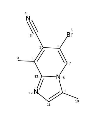 Cc1c(C#N)c(Br)cn2c(C)cnc12